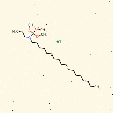 CCCCCCCCCCCCCCCCCCN(CCC)[Si](OC)(OC)OC.Cl